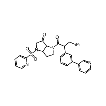 CC(C)CC(C(=O)N1CCC2C1C(=O)CN2S(=O)(=O)c1ccccn1)c1cccc(-c2cccnc2)c1